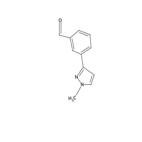 Cn1ccc(-c2cccc(C=O)c2)n1